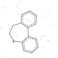 c1ccc2c(c1)CCSc1ccccc1-2